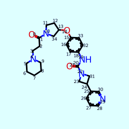 O=C(CCN1CCCCC1)N1CCC(Oc2ccc(NC(=O)N3CC(c4cccnc4)C3)cc2)C1